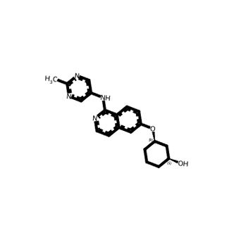 Cc1ncc(Nc2nccc3cc(O[C@@H]4CCC[C@H](O)C4)ccc23)cn1